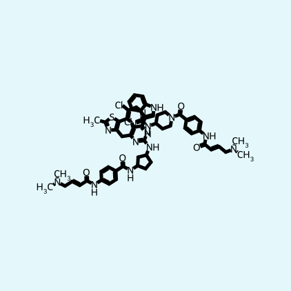 Cc1nc(Cc2nc(NC3CCC(NC(=O)c4ccc(NC(=O)/C=C/CN(C)C)cc4)C3)nc(-c3c[nH]c4ccccc34)c2Cl)c(-c2nc(NC3CCN(C(=O)c4ccc(NC(=O)/C=C/CN(C)C)cc4)CC3)ncc2Cl)s1